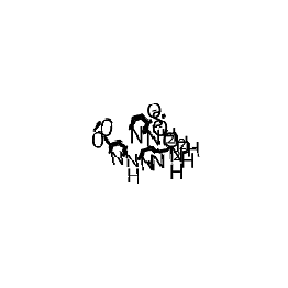 [2H]C([2H])([2H])NC(=O)c1nnc(Nc2ccc(C3OCCO3)cn2)cc1Nc1ncccc1S(C)(=O)=O